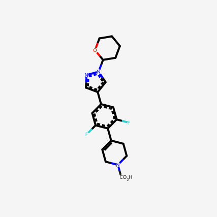 O=C(O)N1CC=C(c2c(F)cc(-c3cnn(C4CCCCO4)c3)cc2F)CC1